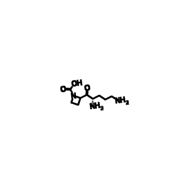 NCCC[C@H](N)C(=O)C1CCN1C(=O)O